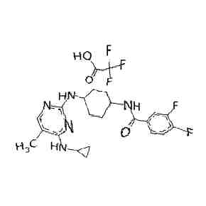 Cc1cnc(NC2CCC(NC(=O)c3ccc(F)c(F)c3)CC2)nc1NC1CC1.O=C(O)C(F)(F)F